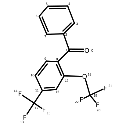 O=C(c1ccccc1)c1ccc(C(F)(F)F)cc1OC(F)(F)F